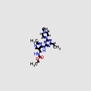 CCOC(=O)NCc1cnc(C)nc1Nc1nc(CC)nc(N2CCN(C)CC2)n1